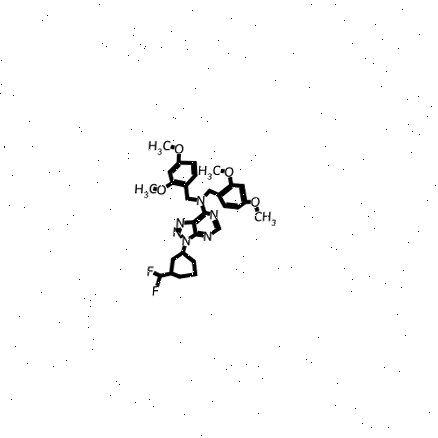 COc1ccc(CN(Cc2ccc(OC)cc2OC)c2ncnc3c2nnn3C2CCCC(C(F)F)C2)c(OC)c1